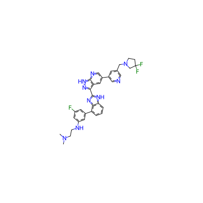 CN(C)CCNc1cc(F)cc(-c2cccc3[nH]c(-c4n[nH]c5ncc(-c6cncc(CN7CCC(F)(F)C7)c6)cc45)nc23)c1